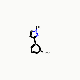 COc1cccc(-c2ccn(C)n2)c1